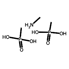 CN.CP(=O)(O)O.CP(=O)(O)O